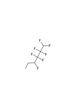 CCC(F)C(F)(F)C(F)(F)[C](F)F